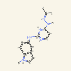 CC(C)=NN(C)c1ccnc(Nc2ccc3c(ccn3C)c2)n1